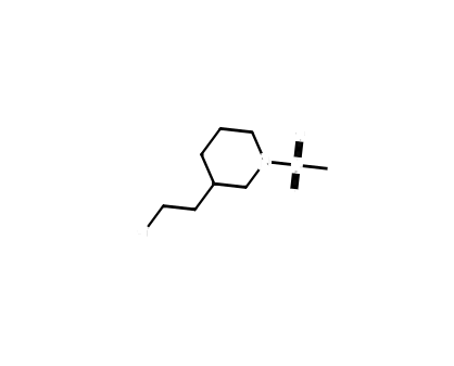 CC(C)(C)CCC1CCCN(S(C)(=O)=O)C1